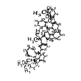 CC(C)(C)C1=CCCc2c1oc1c(N(c3ccccc3)c3ccc4c(c3)C(C)(C)c3cc(N(c5ccccc5)c5cccc6c5oc5c(C(C)(C)C)cccc56)c5c(sc6ccccc65)c3-4)cccc21